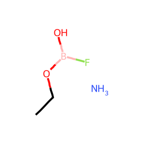 CCOB(O)F.N